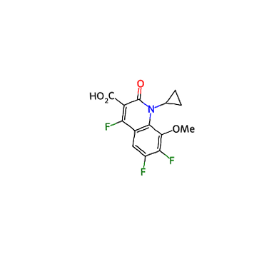 COc1c(F)c(F)cc2c(F)c(C(=O)O)c(=O)n(C3CC3)c12